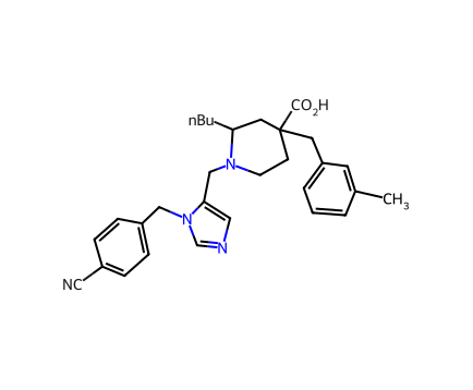 CCCCC1CC(Cc2cccc(C)c2)(C(=O)O)CCN1Cc1cncn1Cc1ccc(C#N)cc1